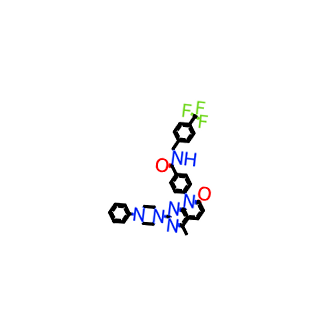 Cc1nc(N2CCN(c3ccccc3)CC2)nc2c1ccc(=O)n2-c1ccc(C(=O)NCc2ccc(C(F)(F)F)cc2)cc1